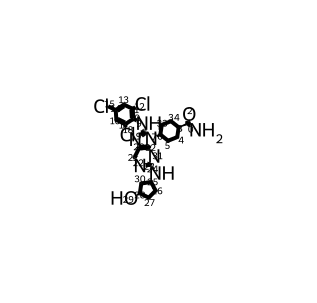 NC(=O)[C@H]1CC[C@@H](n2c(Nc3c(Cl)cc(Cl)cc3Cl)nc3cnc(N[C@@H]4CC[C@H](O)C4)nc32)CC1